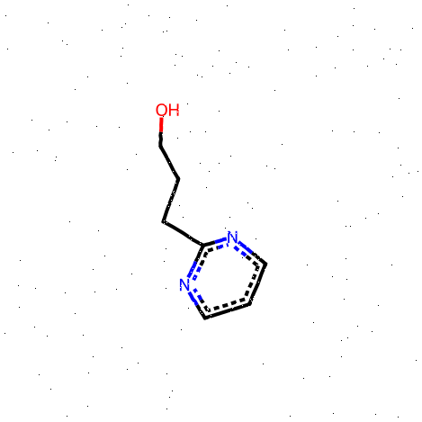 OCCCc1ncccn1